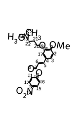 COc1ccc(C=CC(=O)Oc2ccc([N+](=O)[O-])cc2)cc1OCCCN(C)C